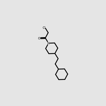 O=C(CCl)N1CCC(CCC2CCCCC2)CC1